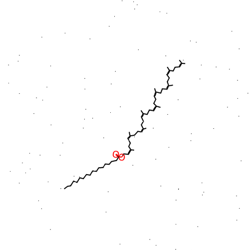 CCCCCCCCCCCCCCCCCC(=O)OCC=C(C)CCC=C(C)CCC=C(C)CCC=C(C)CCC=C(C)CCC=C(C)CCC=C(C)CCC=C(C)CCC=C(C)C